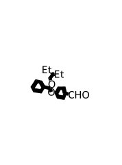 CCC(CC)COC(Oc1ccc(C=O)cc1)c1ccccc1